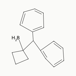 BC1(C(c2ccccc2)c2ccccc2)CCC1